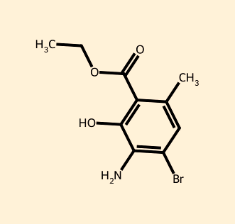 CCOC(=O)c1c(C)cc(Br)c(N)c1O